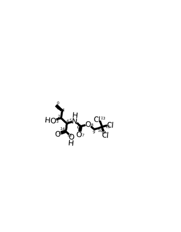 C=CC(O)C(NC(=O)OCC(Cl)(Cl)Cl)C(=O)O